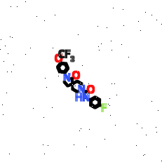 O=C(Nc1ccc(F)cc1)N1CCC2(CC1)CCN(c1ccc(OC(F)(F)F)cc1)C2=O